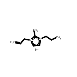 C=CC[n+]1ccn(CCC)c1C.[Br-]